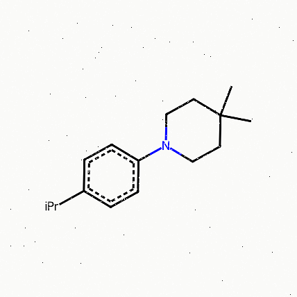 CC(C)c1ccc(N2CCC(C)(C)CC2)cc1